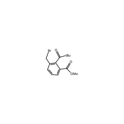 COC(=O)c1cccc(CBr)c1C(=O)C(C)(C)C